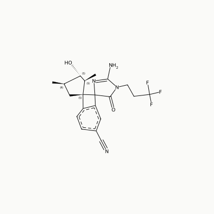 C[C@@H]1C[C@@]2(c3ccc(C#N)cc3C23N=C(N)N(CCC(F)(F)F)C3=O)[C@H](C)[C@H]1O